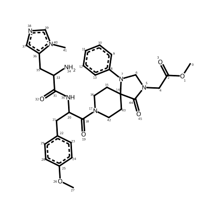 COC(=O)CN1CN(c2ccccc2)C2(CCN(C(=O)C(Cc3ccc(OC)cc3)NC(=O)C(N)Cc3cncn3C)CC2)C1=O